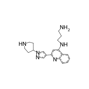 NCCCNc1cc(-c2cnn(C3CCNCC3)c2)nc2ccccc12